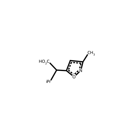 Cc1cc(C(C(=O)O)C(C)C)on1